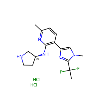 Cc1ccc(-c2cn(C)c(C(C)(F)F)n2)c(N[C@H]2CCNC2)n1.Cl.Cl